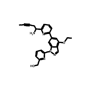 CC#CCC(N)c1cccc(-c2cc(OCC)c3cnn(-c4cccc(CO)n4)c3c2)n1